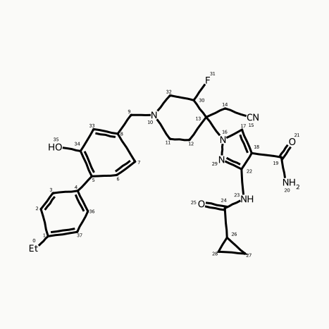 CCc1ccc(-c2ccc(CN3CCC(CC#N)(n4cc(C(N)=O)c(NC(=O)C5CC5)n4)C(F)C3)cc2O)cc1